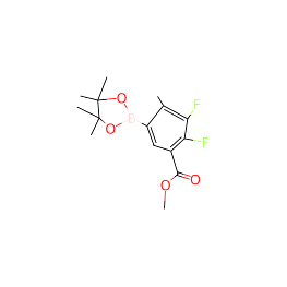 COC(=O)c1cc(B2OC(C)(C)C(C)(C)O2)c(C)c(F)c1F